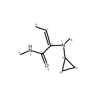 CC=C(C(=O)NC)N(C)C1CC1